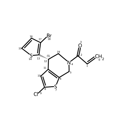 C=CC(=O)N1Cc2sc(Cl)cc2[C@H](c2sccc2Br)C1